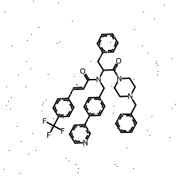 O=C(C(Cc1ccccc1)N(Cc1ccc(-c2cccnc2)cc1)C(=O)C=Cc1ccc(C(F)(F)F)cc1)N1CCN(Cc2ccccc2)CC1